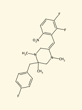 CN1CC(C)(Cc2ccc(F)cc2)N(C)CC1=Cc1c([N+](=O)[O-])ccc(F)c1F